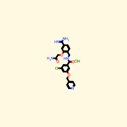 Cl.N=C(N)c1ccc(CNC(=O)c2cc(Cl)cc(OCc3ccncc3)c2)c(OCC(N)=O)c1